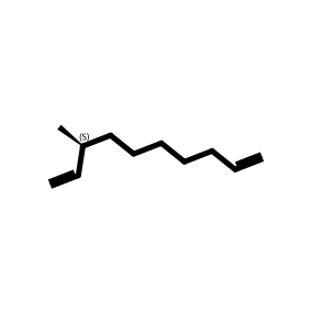 C=CCCCCC[C@H](C)C=C